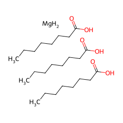 CCCCCCCC(=O)O.CCCCCCCC(=O)O.CCCCCCCC(=O)O.[MgH2]